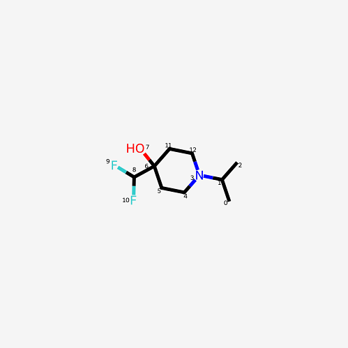 CC(C)N1CCC(O)(C(F)F)CC1